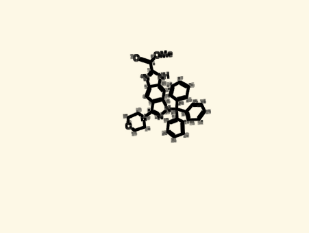 COC(=O)c1nc2cc3c(N4CCOCC4)nn(C(c4ccccc4)(c4ccccc4)c4ccccc4)c3cc2[nH]1